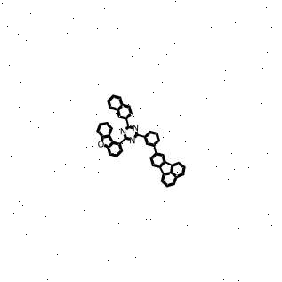 c1cc(-c2ccc3c(c2)-c2cccc4cccc-3c24)cc(-c2nc(-c3ccc4ccccc4c3)nc(-c3cccc4oc5ccccc5c34)n2)c1